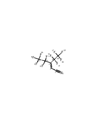 N#CC=C(C(F)(F)C(F)(F)F)C(F)(F)C(F)(F)F